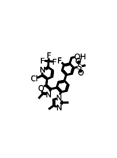 Cc1cn(-c2ccc(-c3cc(F)c(CO)c(S(C)(=O)=O)c3)cc2-c2nc(C)oc2-c2ccc(C(F)(F)F)nc2Cl)c(C)n1